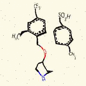 Cc1cc(C(F)(F)F)ccc1COC1CNC1.Cc1ccc(S(=O)(=O)O)cc1